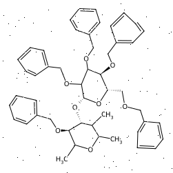 CC1OC(C)[C@@H](OCc2ccccc2)[C@H](O[C@H]2O[C@@H](COCc3ccccc3)[C@H](OCc3ccccc3)C(OCc3ccccc3)C2OCc2ccccc2)C1C